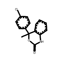 CC1(c2ccc(Cl)cc2)OC(=O)Nc2ccccc21